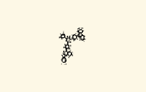 c1ccc(-c2cc(-c3ccc(-c4nc5sc6ccccc6c5c5ccccc45)cc3)nc(-c3ccc(-n4c5ccccc5c5ccccc54)cc3)n2)cc1